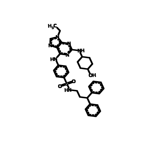 CCn1cnc2c(Nc3ccc(S(=O)(=O)NCCC(c4ccccc4)c4ccccc4)cc3)nc(NC3CCC(O)CC3)nc21